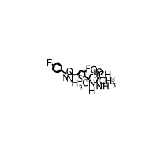 CC1(C)C(=N)N[C@](C)(C2SC(c3nnc(-c4ccc(F)cc4)o3)=CC2F)CS1(=O)=O